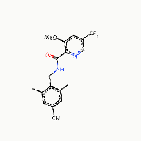 COc1cc(C(F)(F)F)cnc1C(=O)NCc1c(C)cc(C#N)cc1C